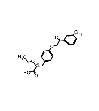 CCO[C@H](Cc1ccc(OCC(=O)c2cccc(C)c2)cc1)C(=O)O